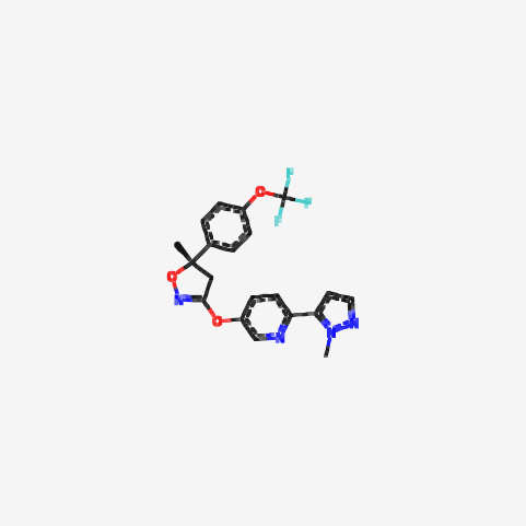 Cn1nccc1-c1ccc(OC2=NO[C@](C)(c3ccc(OC(F)(F)F)cc3)C2)cn1